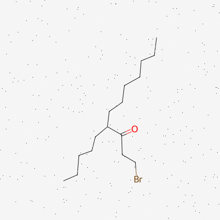 CCCCCCCC(CCCCC)C(=O)CCBr